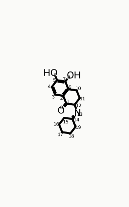 O=C1c2ccc(O)c(O)c2CCC1N=C1CCCCC1